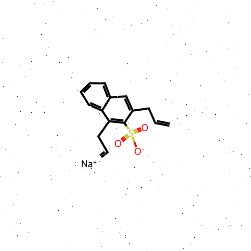 C=CCc1cc2ccccc2c(CC=C)c1S(=O)(=O)[O-].[Na+]